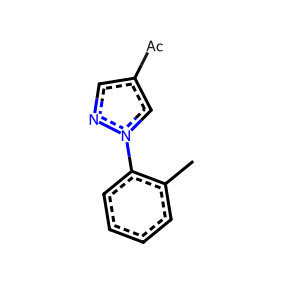 CC(=O)c1cnn(-c2ccccc2C)c1